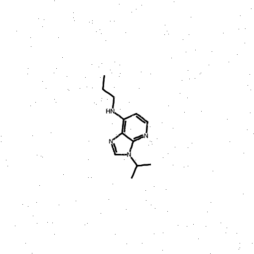 CCCNc1ccnc2c1ncn2C(C)C